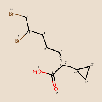 O=C(O)[C@H](CCCC(Br)CBr)C1CC1